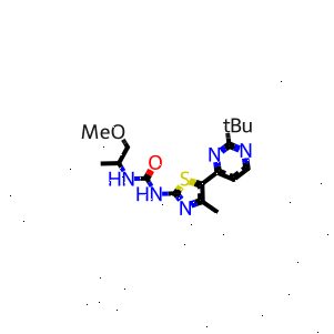 COCC(C)NC(=O)Nc1nc(C)c(-c2ccnc(C(C)(C)C)n2)s1